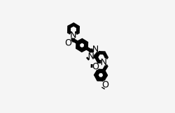 COc1ccc(OC)c(CN2CCc3nc(-c4ccc(C(=O)N5CCCCC5)cc4)n(C)c3C2)c1